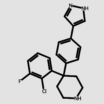 Fc1cccc(C2(c3ccc(-c4cn[nH]c4)cc3)CCNCC2)c1Cl